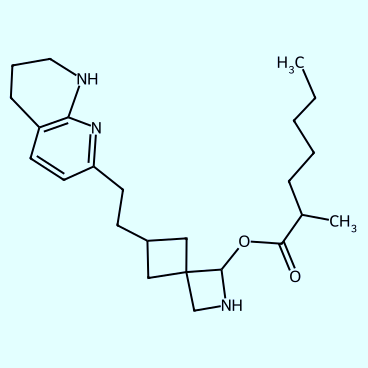 CCCCCC(C)C(=O)OC1NCC12CC(CCc1ccc3c(n1)NCCC3)C2